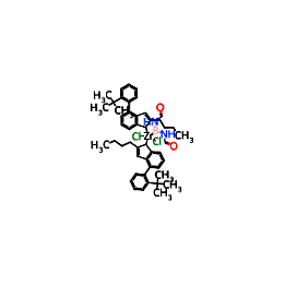 CCCCC1=Cc2c(-c3ccccc3C(C)(C)C)cccc2[CH]1[Zr]([Cl])([Cl])([B](NC=O)NC=O)[CH]1C(CCCC)=Cc2c(-c3ccccc3C(C)(C)C)cccc21